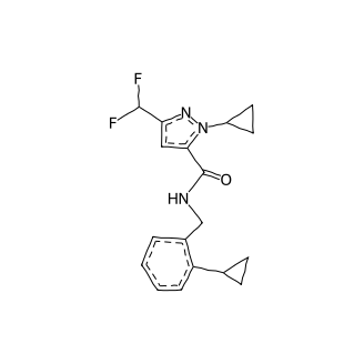 O=C(NCc1ccccc1C1CC1)c1cc(C(F)F)nn1C1CC1